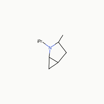 CC(C)N1C(C)CC2CC21